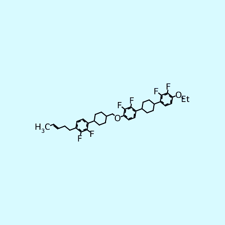 C/C=C/CCc1ccc(C2CCC(COc3ccc(C4CCC(c5ccc(OCC)c(F)c5F)CC4)c(F)c3F)CC2)c(F)c1F